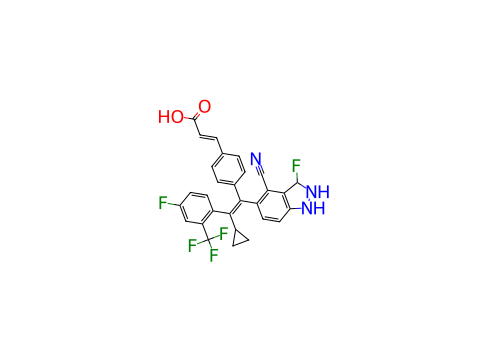 N#Cc1c(/C(=C(/c2ccc(F)cc2C(F)(F)F)C2CC2)c2ccc(/C=C/C(=O)O)cc2)ccc2c1C(F)NN2